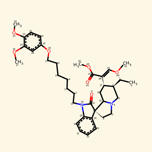 CC[C@H]1CN2CC[C@]3(C(=O)N(CCCCCCCOc4ccc(OC)c(OC)c4)c4ccccc43)C2C[C@@H]1/C(=C\OC)C(=O)OC